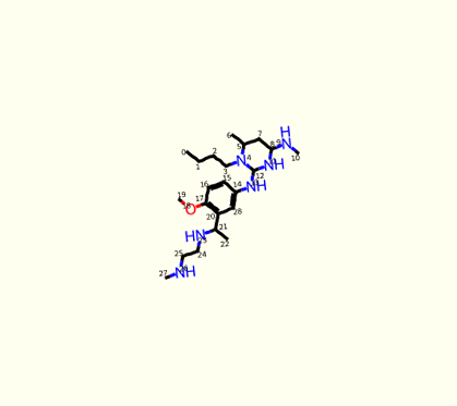 CCCCN1C(C)CC(NC)NC1Nc1ccc(OC)c(C(C)NCCNC)c1